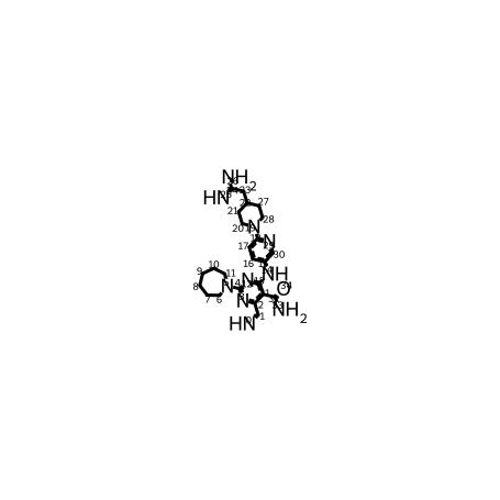 N=Cc1nc(N2CCCCCC2)nc(Nc2ccc(N3CCC(CC(=N)N)CC3)nc2)c1C(N)=O